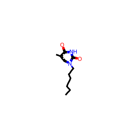 CCCCCCn1cc(C)c(=O)[nH]c1=O